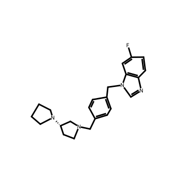 Fc1ccc2ncn(Cc3ccc(CN4CC[C@H](N5CCCC5)C4)cc3)c2c1